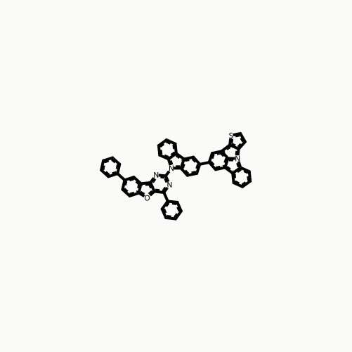 c1ccc(-c2ccc3oc4c(-c5ccccc5)nc(-n5c6ccccc6c6cc(-c7cc8c9ccccc9n9c%10ccsc%10c(c7)c89)ccc65)nc4c3c2)cc1